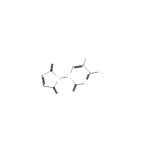 Nc1nc(=O)n(N2C(=O)C=CC2=O)cc1F